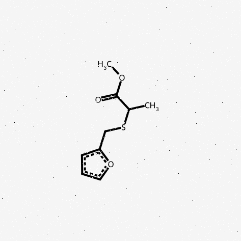 COC(=O)C(C)SCc1ccco1